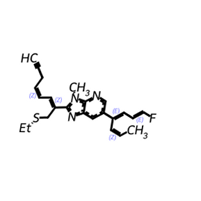 C#CC/C=C\C=C(/CSCC)c1nc2cc(C(/C=C\C)=C/C=C/F)cnc2n1C